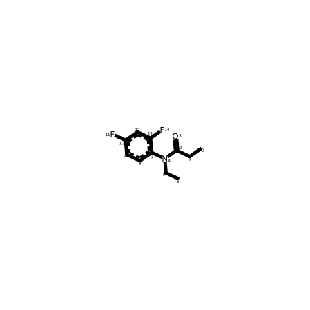 CCC(=O)N(CC)c1ccc(F)cc1F